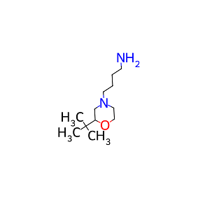 CC(C)(C)C1CN(CCCCN)CCO1